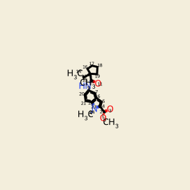 COC(=O)c1cc2cc(NC(=O)C3(C(C)C)CCCC3)ccc2n1C